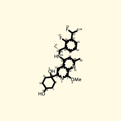 COc1nc(C2(O)CCC(O)CC2)cc2c(N[C@H](C)c3cccc(C(F)F)c3F)cc(C)nc12